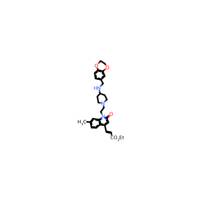 CCOC(=O)/C=C/c1cc(=O)n(CCN2CCC(NCc3ccc4c(c3)OCCO4)CC2)c2cc(C)ccc12